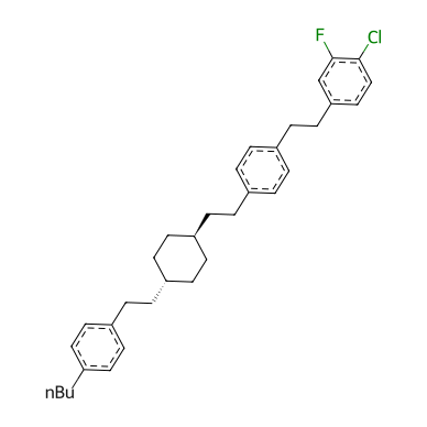 CCCCc1ccc(CC[C@H]2CC[C@H](CCc3ccc(CCc4ccc(Cl)c(F)c4)cc3)CC2)cc1